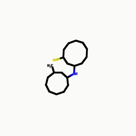 CC1CCCCCCC(NC2CCCCCCCC(S)C2)C1